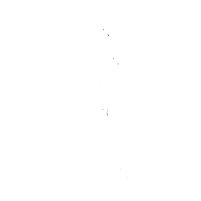 c1cnnc(N2CCOCC2)c1